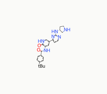 CC(C)(C)c1ccc(C(=O)Nc2cc(-c3ccnc(N[C@@H]4CCNC4)n3)c[nH]c2=O)cc1